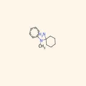 CN(c1ccccc1)C1(N)CCCCC1